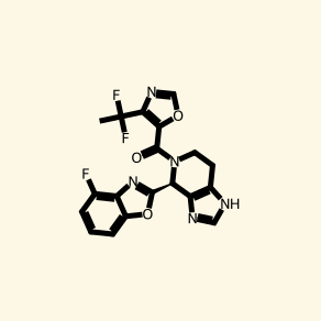 CC(F)(F)c1ncoc1C(=O)N1CCc2[nH]cnc2[C@H]1c1nc2c(F)cccc2o1